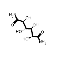 NC(=O)[C@@H](O)[C@H](O)[C@H](O)[C@@H](O)C(N)=O